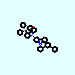 c1ccc(-c2cccc(-c3ccccc3-n3c4ccccc4c4cc(-n5c6ccccc6c6c([Si](c7ccccc7)(c7ccccc7)c7ccccc7)cccc65)ccc43)c2)cc1